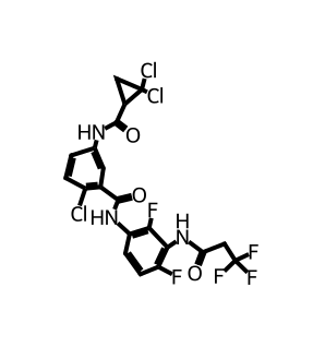 O=C(CC(F)(F)F)Nc1c(F)ccc(NC(=O)c2cc(NC(=O)C3CC3(Cl)Cl)ccc2Cl)c1F